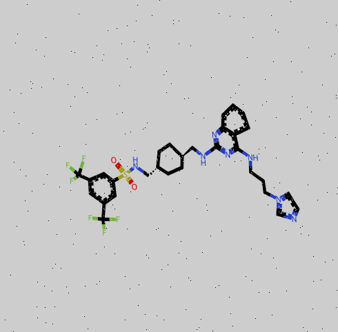 O=S(=O)(NC[C@H]1CC[C@H](CNc2nc(NCCCn3ccnc3)c3ccccc3n2)CC1)c1cc(C(F)(F)F)cc(C(F)(F)F)c1